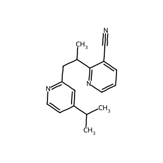 CC(C)c1ccnc(CC(C)c2ncccc2C#N)c1